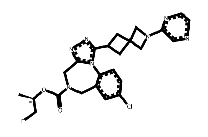 C[C@H](CF)OC(=O)N1Cc2cc(Cl)ccc2-n2c(nnc2C2CC3(C2)CN(c2cnccn2)C3)C1